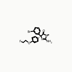 CN1C(=O)[C@](c2ccc(OCCF)cc2)(c2cccc(Br)c2)N=C1N